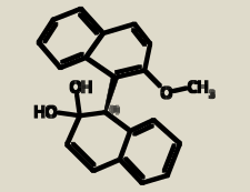 COc1ccc2ccccc2c1[C@H]1c2ccccc2C=CC1(O)O